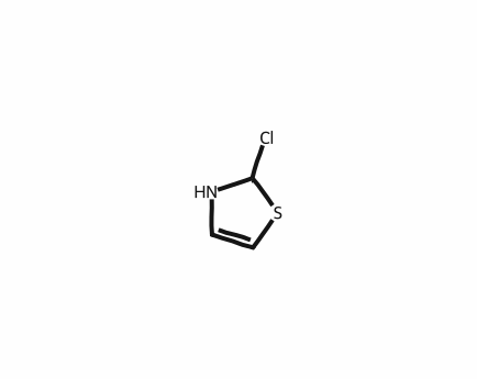 Cl[C]1NC=CS1